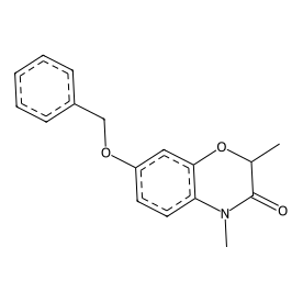 CC1Oc2cc(OCc3ccccc3)ccc2N(C)C1=O